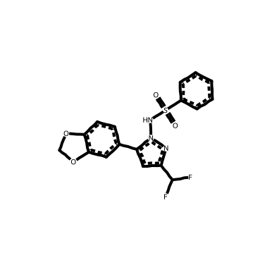 O=S(=O)(Nn1nc(C(F)F)cc1-c1ccc2c(c1)OCO2)c1ccccc1